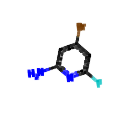 Nc1cc(Br)cc(F)n1